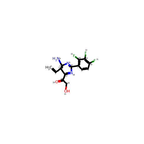 C=Cc1c(N)nc(-c2ccc(F)c(F)c2F)nc1C(=O)CO